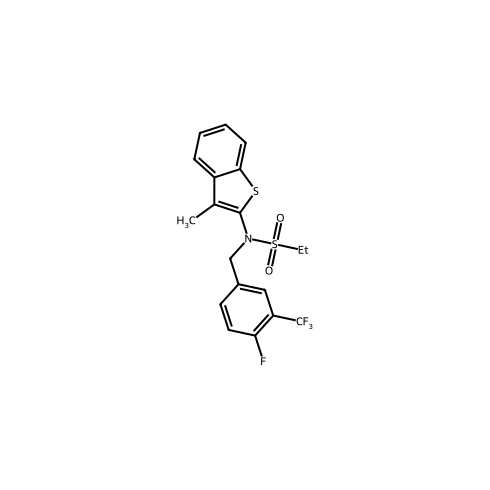 CCS(=O)(=O)N(Cc1ccc(F)c(C(F)(F)F)c1)c1sc2ccccc2c1C